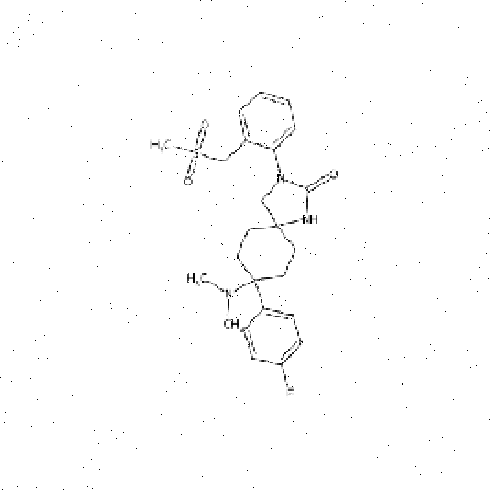 CN(C)C1(c2ccc(F)cc2)CCC2(CC1)CN(c1ccccc1CS(C)(=O)=O)C(=O)N2